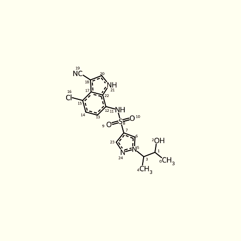 CC(O)C(C)n1cc(S(=O)(=O)Nc2ccc(Cl)c3c(C#N)c[nH]c23)cn1